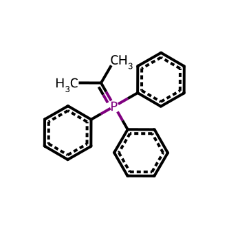 CC(C)=P(c1ccccc1)(c1ccccc1)c1ccccc1